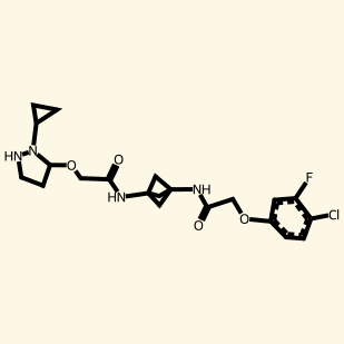 O=C(COc1ccc(Cl)c(F)c1)NC12CC(NC(=O)COC3CCNN3C3CC3)(C1)C2